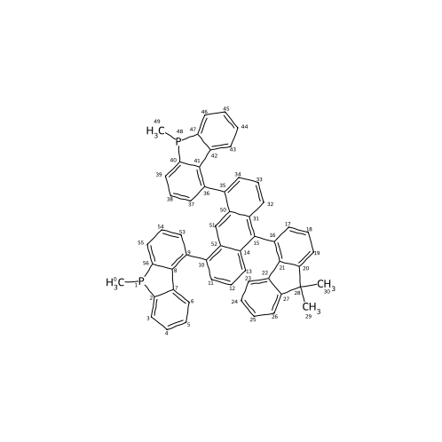 Cp1c2ccccc2c2c(-c3cccc4c(-c5cccc6c5-c5ccccc5C6(C)C)c5cccc(-c6cccc7c6c6ccccc6p7C)c5cc34)cccc21